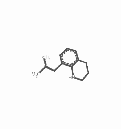 CC(C)Cc1cccc2c1NCCC2